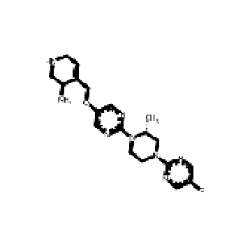 C[C@@H]1CN(c2ncc(F)cn2)CCN1c1ncc(OCC2=CCNCC2N)cn1